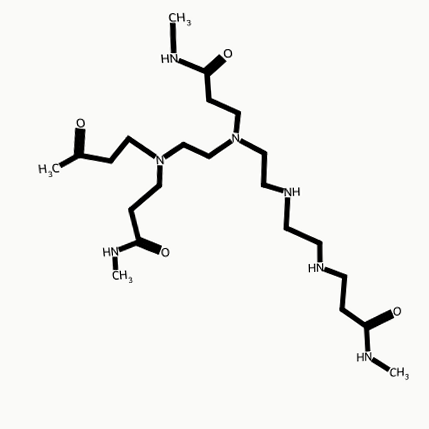 CNC(=O)CCNCCNCCN(CCC(=O)NC)CCN(CCC(C)=O)CCC(=O)NC